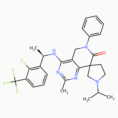 Cc1nc(N[C@H](C)c2cccc(C(F)(F)F)c2F)c2c(n1)C1(CCN(C(C)C)C1)C(=O)N(c1ccccc1)C2